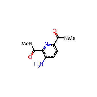 CNC(=O)c1ccc(N)c(C(=O)NC)n1